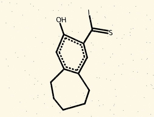 Oc1cc2c(cc1C(=S)I)CCCCC2